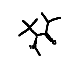 CN[C@H](C(=O)C(C)C)C(C)(C)C